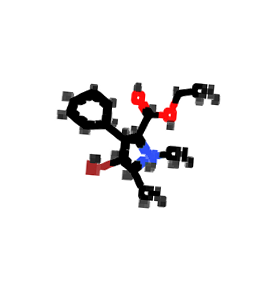 CCOC(=O)c1c(-c2ccccc2)c(Br)c(C)n1C